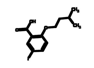 CC(C)CCOc1ccc(I)cc1C(=O)O